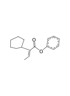 CC=C(C(=O)Oc1ccccc1)C1CCCCC1